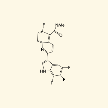 CNC(=O)c1c(F)ccc2nc(-c3c[nH]c4c(F)c(F)c(F)cc34)ccc12